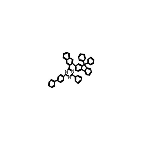 c1ccc(-c2ccc(-c3nc(-c4ccccc4)nc(-c4cc5ccccc5cc4-c4ccc5c(c4)C(c4ccccc4)(c4ccccc4)c4ccccc4-5)n3)cc2)cc1